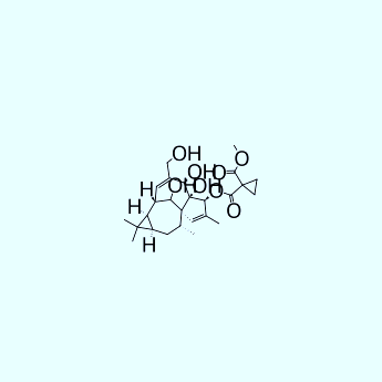 COC(=O)C1(C(=O)O[C@H]2C(C)=C[C@]34C(O)[C@@H](C=C(CO)[C@@H](O)[C@]23O)[C@H]2[C@@H](C[C@H]4C)C2(C)C)CC1